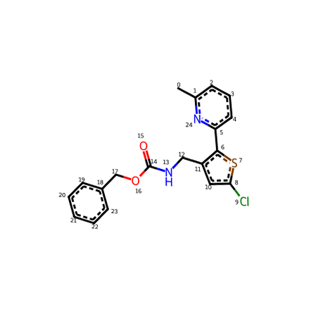 Cc1cccc(-c2sc(Cl)cc2CNC(=O)OCc2ccccc2)n1